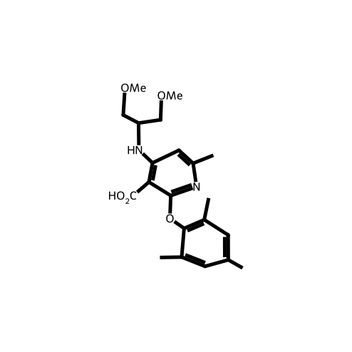 COCC(COC)Nc1cc(C)nc(Oc2c(C)cc(C)cc2C)c1C(=O)O